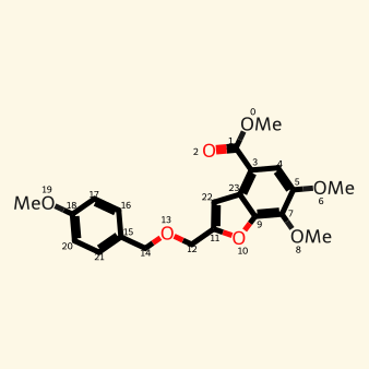 COC(=O)c1cc(OC)c(OC)c2oc(COCc3ccc(OC)cc3)cc12